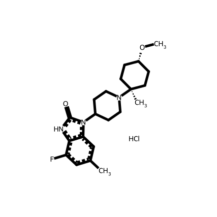 CO[C@H]1CC[C@](C)(N2CCC(n3c(=O)[nH]c4c(F)cc(C)cc43)CC2)CC1.Cl